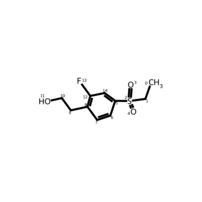 CCS(=O)(=O)c1ccc(CCO)c(F)c1